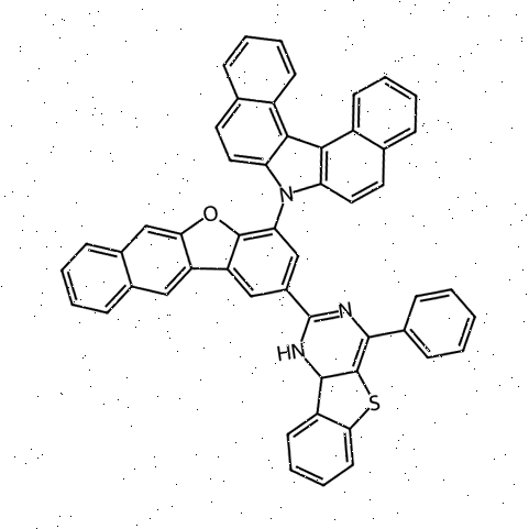 c1ccc(C2=C3Sc4ccccc4C3NC(c3cc(-n4c5ccc6ccccc6c5c5c6ccccc6ccc54)c4oc5cc6ccccc6cc5c4c3)=N2)cc1